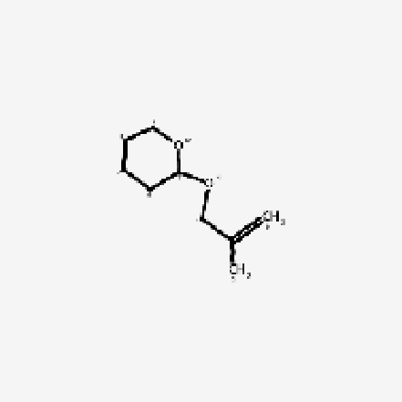 C=C(C)COC1CCCCO1